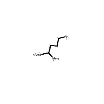 CCCCCC(CCCP)CCCCC